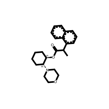 CC(C(=O)O[C@@H]1CCCC[C@H]1N1CCOCC1)c1cccc2ccccc12